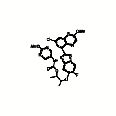 COc1cnc2c(-c3nc4cc(F)c(O[C@@H](C)[C@@H](C)OC(=O)Nc5cnc(OC)nc5)cc4s3)cc(Cl)cc2n1